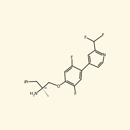 CC(C)C[C@](C)(N)COc1cc(F)c(-c2ccnc(C(F)F)c2)cc1F